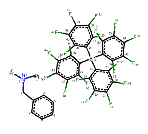 CC(C)[NH+](Cc1ccccc1)C(C)C.Fc1c(F)c(F)c([B-](c2c(F)c(F)c(F)c(F)c2F)(c2c(F)c(F)c(F)c(F)c2F)c2c(F)c(F)c(F)c(F)c2F)c(F)c1F